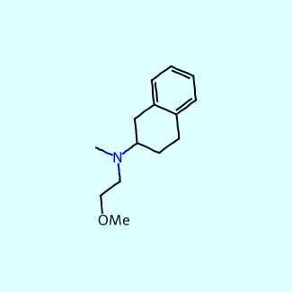 COCCN(C)C1CCc2ccccc2C1